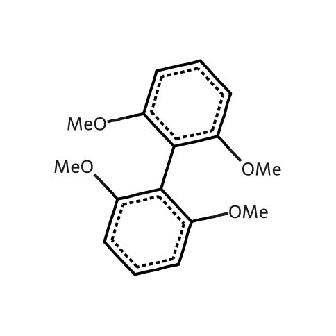 COc1cccc(OC)c1-c1c(OC)cccc1OC